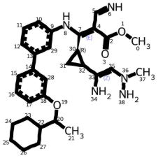 COC(=O)/C(C=N)=C(/Nc1cccc(-c2cccc(OC(C)C3CCCCC3)c2)c1)[C@@H]1CC1/C(N)=C/N(C)N